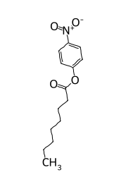 CCCCCCCC(=O)Oc1ccc([N+](=O)[O-])cc1